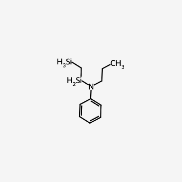 CCCN([SiH2]C[SiH3])c1ccccc1